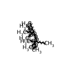 CCCCCCC(OCOCOC(CCCCCC)C(OCCC)=C(CCC)OCCC)C(OCCC)=C(CCC)OCCC